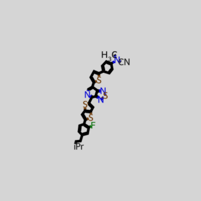 CC(C)CCc1ccc(-c2cc3sc(-c4ncc(-c5ccc(-c6ccc(N(C)C#N)cc6)s5)c5nsnc45)cc3s2)c(F)c1